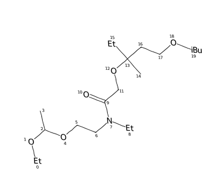 CCOC(C)OCCN(CC)C(=O)COC(C)(CC)CCOC(C)CC